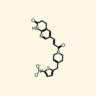 O=C1CCc2cc(/C=C/C(=O)N3CC=C(Cc4ccc([N+](=O)[O-])s4)CC3)cnc2N1